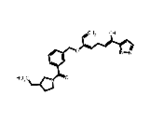 C=C/C(=C\C/C=C(\C)c1ccn[nH]1)OCc1cccc(C(=O)N2CCC(CC(=O)O)C2)c1